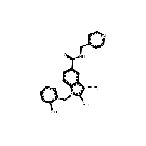 Cc1ccccc1Cn1c(C)c(C)c2cc(C(=O)NCc3ccncc3)ccc21